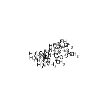 COC(=O)C1=C[C@H](N/C(=N/C(=O)OC(C)(C)C)NC(=O)OC(C)(C)C)[C@@H](C)[C@H]([C@H](OC)[C@H](C)COC(C)=O)O1